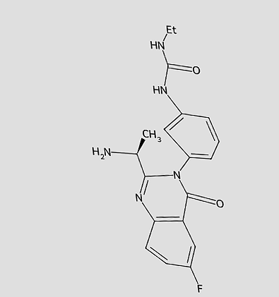 CCNC(=O)Nc1cccc(-n2c([C@H](C)N)nc3ccc(F)cc3c2=O)c1